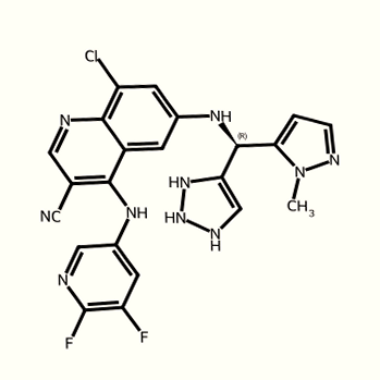 Cn1nccc1[C@H](Nc1cc(Cl)c2ncc(C#N)c(Nc3cnc(F)c(F)c3)c2c1)C1=CNNN1